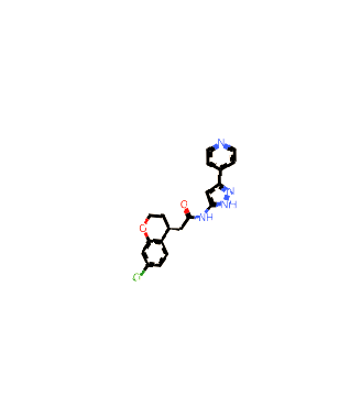 O=C(C[C@@H]1CCOc2cc(Cl)ccc21)Nc1cc(-c2ccncc2)n[nH]1